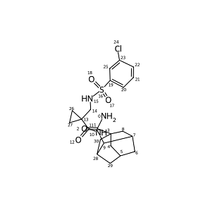 NC(=O)C12CC3CC(C1)C(NC(=O)C1(CNS(=O)(=O)c4cccc(Cl)c4)CC1)C(C3)C2